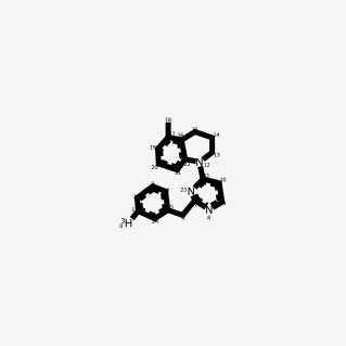 [3H]c1cccc(Cc2nccc(N3CCCc4c(C)cccc43)n2)c1